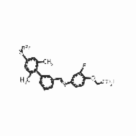 CCCOc1cc(C)c(-c2cccc(C=Nc3ccc(OCC(=O)O)c(F)c3)c2)c(C)c1